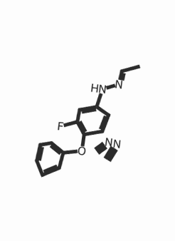 C#N.C#N.CC=NNc1ccc(Oc2ccccc2)c(F)c1